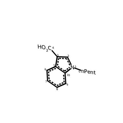 CCCCCn1cc(C(=O)O)c2ccccc21